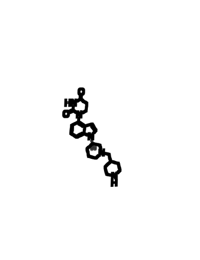 O=C1CCN(c2cccc3c2ccn3[C@H]2CCCN(CC3CCNCC3)C2)C(=O)N1